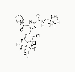 CC(C)(O)CNC(=O)c1nc(C(=O)N2C3CCC2CC3)c(-c2ccc(C(C)(C(F)(F)F)C(F)(F)F)c(Cl)c2Cl)s1